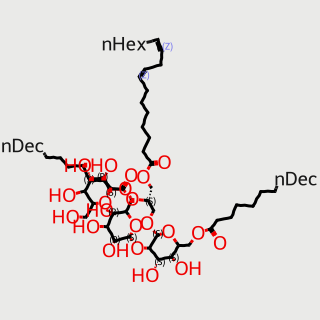 CCCCCC/C=C\C/C=C\CCCCCCC(=O)OC[C@H](CO[C@H]1OC(COC(=O)CCCCCCCCCCCCCCCC)[C@@H](O)[C@H](O)C1O[C@@H]1OC(CO[C@H]2OC(CO)C(O)[C@H](O)[C@H]2O)[C@H](O)C(O)[C@H]1O)OC(=O)CCCCCCCCCCCCCCCCC